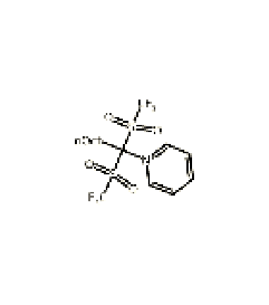 CCCCCCCCC([n+]1ccccc1)(S(=O)(=O)C(F)(F)F)S(=O)(=O)C(F)(F)F